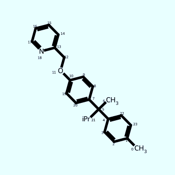 Cc1ccc(C(C)(c2ccc(OCc3ccccn3)cc2)C(C)C)cc1